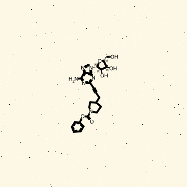 Nc1nc(C#CCC2CCN(C(=O)Oc3ccccc3)CC2)nc2c1ncn2[C@@H]1O[C@H](CO)[C@@H](O)[C@H]1O